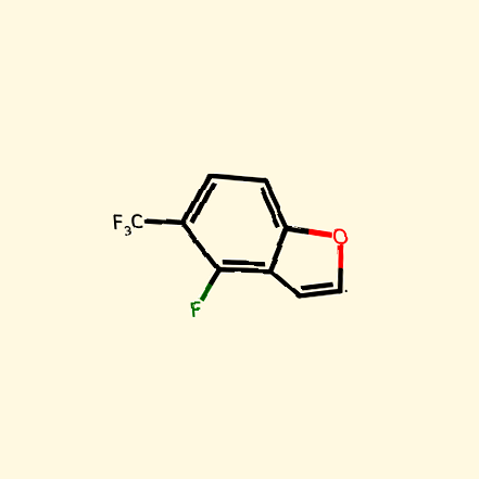 Fc1c(C(F)(F)F)ccc2o[c]cc12